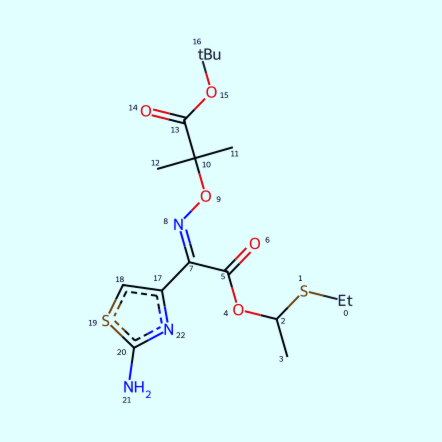 CCSC(C)OC(=O)C(=NOC(C)(C)C(=O)OC(C)(C)C)c1csc(N)n1